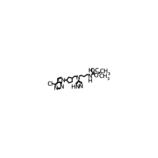 CC(C)(C)OC(=O)NCCCN(CC1CCC(n2ccc3c(Cl)ncnc32)C1)c1cn[nH]c1